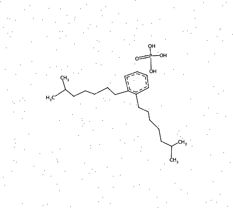 CC(C)CCCCCc1ccccc1CCCCCC(C)C.O=P(O)(O)O